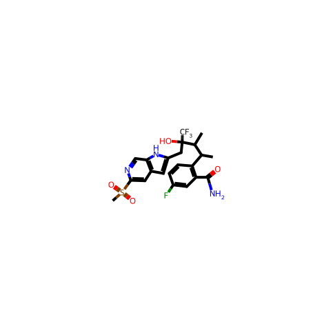 CC(c1ccc(F)cc1C(N)=O)C(C)C(O)(Cc1cc2cc(S(C)(=O)=O)ncc2[nH]1)C(F)(F)F